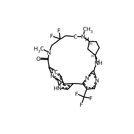 CN1CC(F)(F)CCN(C)[C@H]2CC[C@@H](C2)Nc2ncc(C(F)(F)F)c(n2)-c2c[nH]c3nc(ccc23)C1=O